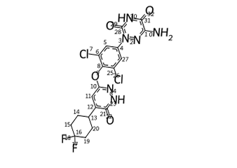 Nc1nn(-c2cc(Cl)c(Oc3cc(C4CCC(F)(F)CC4)c(=O)[nH]n3)c(Cl)c2)c(=O)[nH]c1=O